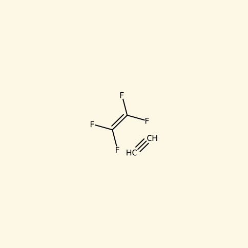 C#C.FC(F)=C(F)F